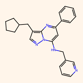 c1ccc(-c2cc(NCc3cccnc3)n3ncc(CC4CCCC4)c3n2)cc1